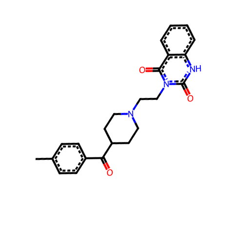 Cc1ccc(C(=O)C2CCN(CCn3c(=O)[nH]c4ccccc4c3=O)CC2)cc1